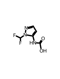 O=C(O)Nc1ccnn1C(F)F